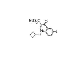 CCOC(=O)c1cn(CC2CCC2)c2ccc(I)cc2c1=O